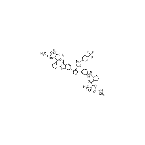 CNC(=O)O[C@H](C(=O)N1CCC[C@H]1c1nc2ccc([C@H]3CC[C@H](c4ccc5[nH]c([C@@H]6CCCN6C(=O)[C@@H](NC(=O)OC)C(C)C)nc5c4)N3c3cnc(-c4ccc(C(F)(F)F)cc4)s3)cc2[nH]1)C(C)C